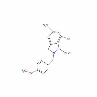 O=CC1c2c(Cl)cc([N+](=O)[O-])cc2CN1Cc1ccc(OC(F)(F)F)cc1